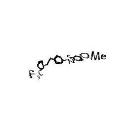 COc1ccc2nc(-c3ccc(/C=C/c4cccc(C(F)(F)F)c4)cc3)sc2c1